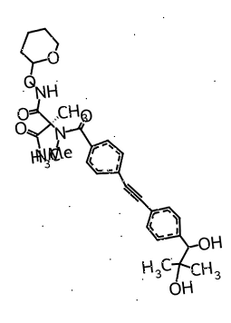 CNC(=O)[C@@](C)(C(=O)NOC1CCCCO1)N(C)C(=O)c1ccc(C#Cc2ccc(C(O)C(C)(C)O)cc2)cc1